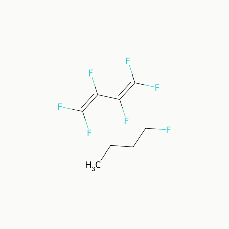 CCCCF.FC(F)=C(F)C(F)=C(F)F